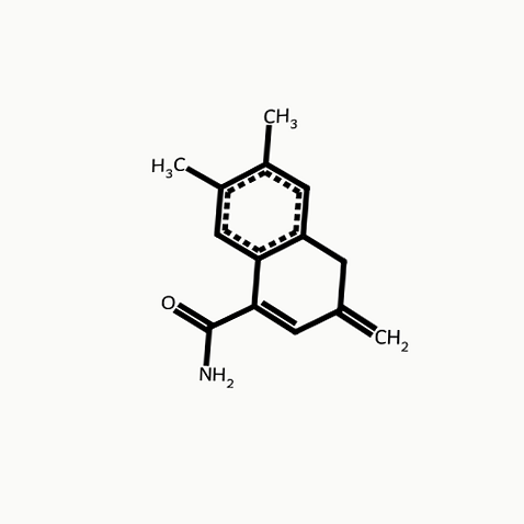 C=C1C=C(C(N)=O)c2cc(C)c(C)cc2C1